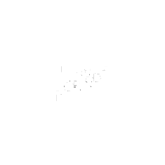 CCS(=O)(=O)c1c(-c2cn3ccc(C(F)(F)F)cc3n2)nc2ccc(C(F)(F)F)cn12